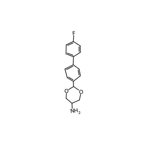 NC1COC(c2ccc(-c3ccc(F)cc3)cc2)OC1